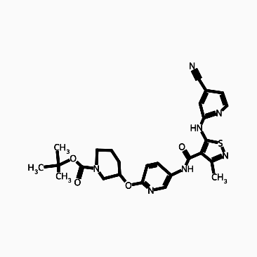 Cc1nsc(Nc2cc(C#N)ccn2)c1C(=O)Nc1ccc(OC2CCCN(C(=O)OC(C)(C)C)C2)nc1